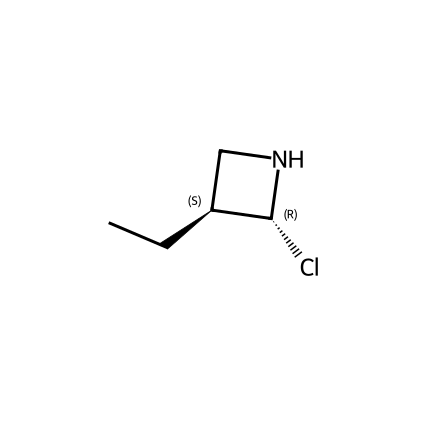 CC[C@H]1CN[C@@H]1Cl